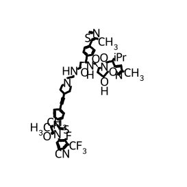 Cc1cc(C(C(=O)N2C[C@H](O)C[C@H]2C(=O)N[C@@H](CC(=O)NCCN2CCC(C#Cc3ccc(N4C(=S)N(c5ccc(C#N)c(C(F)(F)F)c5F)C(=O)C4(C)C)cc3)CC2)c2ccc(-c3scnc3C)cc2)C(C)C)on1